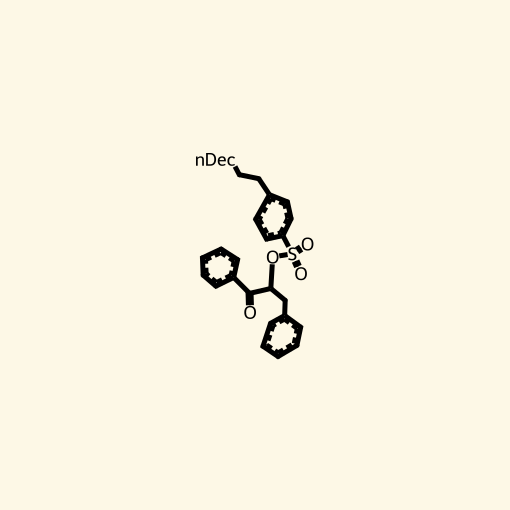 CCCCCCCCCCCCc1ccc(S(=O)(=O)OC(Cc2ccccc2)C(=O)c2ccccc2)cc1